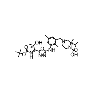 Cc1cc(CN2CCN(C(=O)O)[C@@](C)(C(C)C)C2)c(C)c(Nc2nnc([C@@H](NC(=O)OC(C)(C)C)[C@@H](C)O)o2)c1